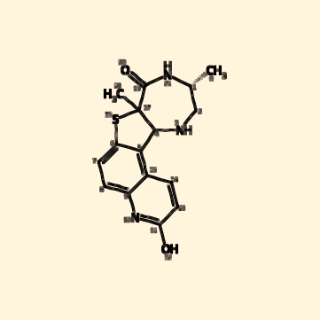 C[C@@H]1CNC2c3c(ccc4nc(O)ccc34)SC2(C)C(=O)N1